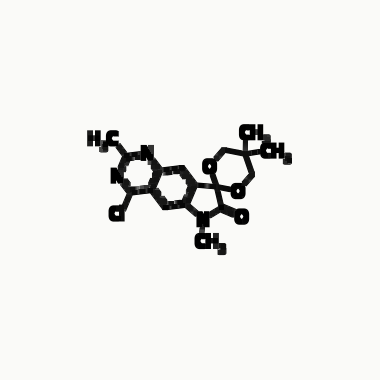 Cc1nc(Cl)c2cc3c(cc2n1)C1(OCC(C)(C)CO1)C(=O)N3C